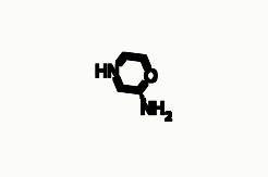 N[C@@H]1CNCCO1